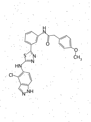 COc1ccc(CC(=O)Nc2cccc(-c3nnc(Nc4ccc5[nH]ncc5c4Cl)s3)c2)cc1